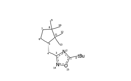 CC(C)(C)c1nc(C[C@@H]2CCC(C)(C)C2(C)C)no1